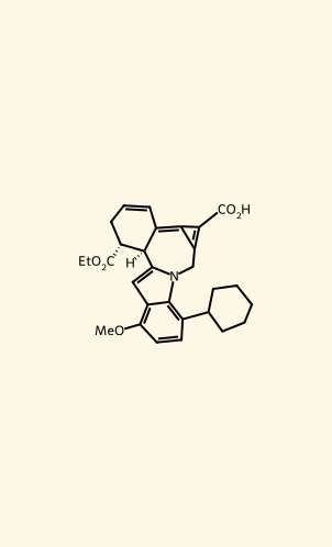 CCOC(=O)[C@@H]1CC=CC2=C3C(=C3C(=O)O)Cn3c(cc4c(OC)ccc(C5CCCCC5)c43)[C@H]21